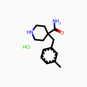 Cc1cccc(CC2(C(N)=O)CCNCC2)c1.Cl